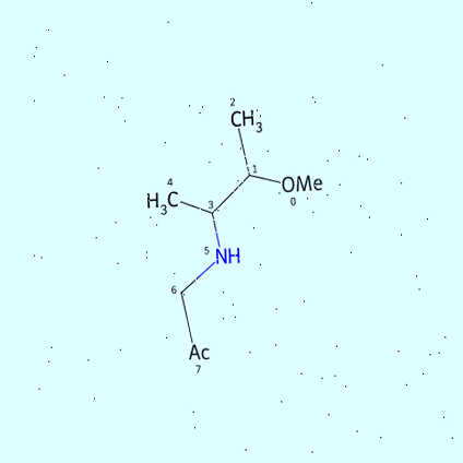 COC(C)C(C)NCC(C)=O